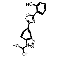 Oc1ccccc1-c1nc(-c2ccc3c(c2)nnn3C(O)O)no1